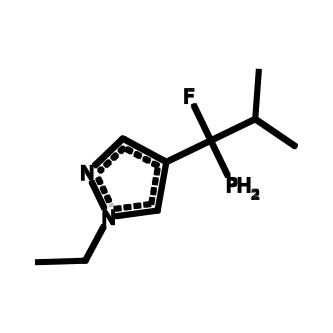 CCn1cc(C(F)(P)C(C)C)cn1